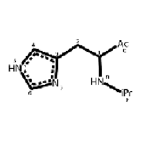 CC(=O)C(Cc1c[nH]cn1)NC(C)C